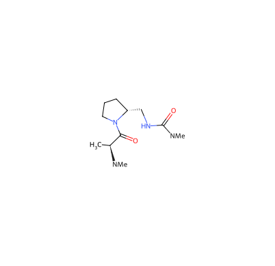 CNC(=O)NC[C@H]1CCCN1C(=O)[C@H](C)NC